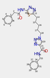 O=C(Cc1ccccc1)Nc1nnc(CCCCCn2cc(C(=O)NCc3ccccc3)nn2)s1